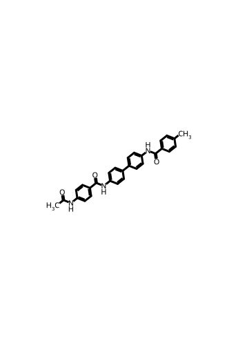 CC(=O)Nc1ccc(C(=O)Nc2ccc(-c3ccc(NC(=O)c4ccc(C)cc4)cc3)cc2)cc1